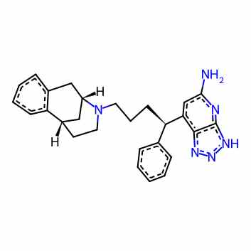 Nc1cc([C@H](CCCN2CC[C@H]3C[C@@H]2Cc2ccccc23)c2ccccc2)c2nn[nH]c2n1